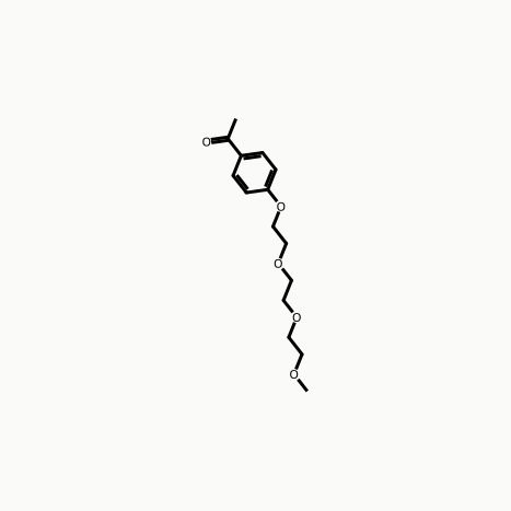 COCCOCCOCCOc1ccc(C(C)=O)cc1